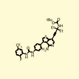 CCC(C#Cc1cnc(N)c2c(-c3ccc(NC(=O)Nc4cc(C(F)(F)F)ccc4F)cc3)csc12)(CC)NC(=O)OC(C)(C)C